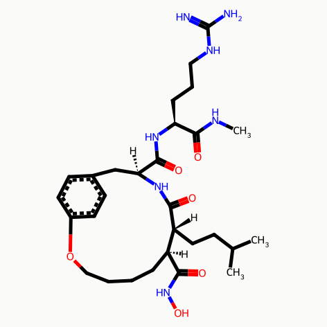 CNC(=O)[C@H](CCCNC(=N)N)NC(=O)[C@@H]1Cc2ccc(cc2)OCCCC[C@H](C(=O)NO)[C@@H](CCC(C)C)C(=O)N1